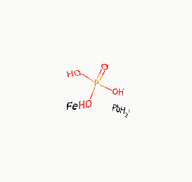 O=P(O)(O)O.[Fe].[PbH2]